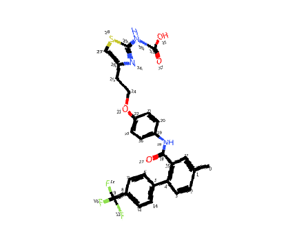 Cc1ccc(-c2ccc(C(F)(F)F)cc2)c(C(=O)Nc2ccc(OCCc3csc(NC(=O)O)n3)cc2)c1